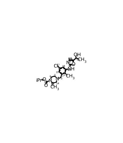 Cc1c(CN2CCN(C(=O)OC(C)C)[C@@H](C)C2)cc(Cl)cc1Nc1nnc(C(C)O)o1